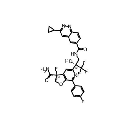 NC(=O)[C@@]1(F)COc2c1cc([C@@](O)(CNC(=O)c1ccc3nnc(C4CC4)cc3c1)C(F)(F)F)nc2-c1ccc(F)cc1